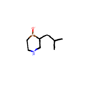 CC(C)CC1CNCC[S+]1[O-]